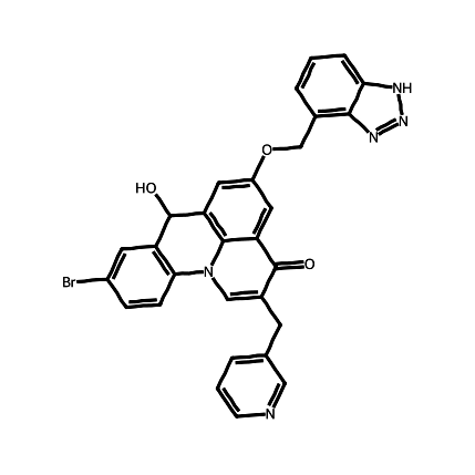 O=c1c(Cc2cccnc2)cn2c3c(cc(OCc4cccc5[nH]nnc45)cc13)C(O)c1cc(Br)ccc1-2